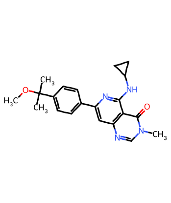 COC(C)(C)c1ccc(-c2cc3ncn(C)c(=O)c3c(NC3CC3)n2)cc1